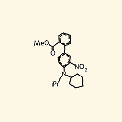 COC(=O)c1ccccc1-c1ccc(N(CC(C)C)C2CCCCC2)c([N+](=O)[O-])c1